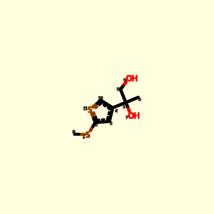 CSc1cc(C(C)(O)CO)cs1